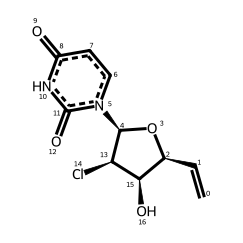 C=C[C@@H]1O[C@H](n2ccc(=O)[nH]c2=O)[C@H](Cl)[C@@H]1O